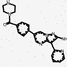 Nc1nn2cc(-c3ccc(C(=O)N4CCNCC4)cc3)cnc2c1-c1ccccn1